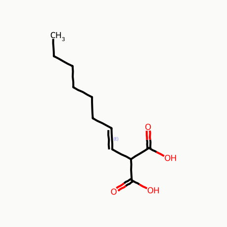 CCCCCC/C=C/C(C(=O)O)C(=O)O